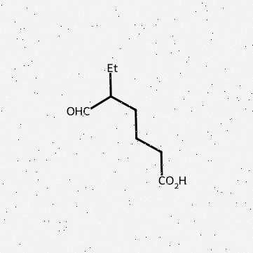 CCC(C=O)CCCC(=O)O